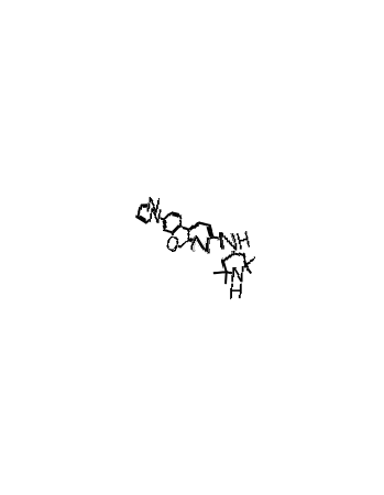 CC1(C)CC(Nc2ccc3c(n2)COc2cc(-n4cccn4)ccc2-3)CC(C)(C)N1